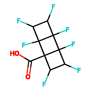 O=C(O)C12C3(F)C4(F)C5(F)C3(F)C1(F)C5(F)C42F